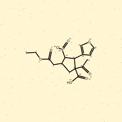 CCOC(=O)CC1CC(C(C)=O)(C(=O)O)C(c2ccoc2)C1[N+](=O)[O-]